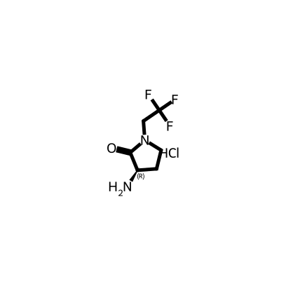 Cl.N[C@@H]1CCN(CC(F)(F)F)C1=O